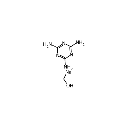 Nc1nc(N)nc(N)n1.O[CH2][Na]